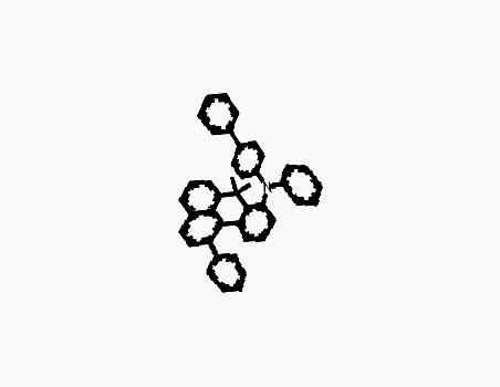 CC1(C)c2c(cccc2N(c2ccccc2)c2ccc(-c3ccccc3)cc2)-c2c(-c3ccccc3)ccc3cccc1c23